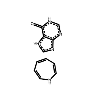 C1=CC=CNC=C1.O=c1[nH]cnc2nc[nH]c12